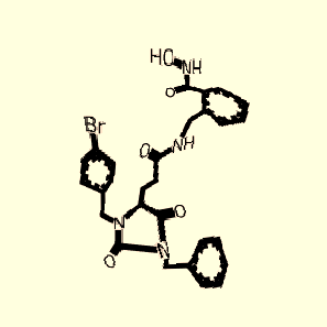 O=C(CCC1C(=O)N(Cc2ccccc2)C(=O)N1Cc1ccc(Br)cc1)NCc1ccccc1C(=O)NO